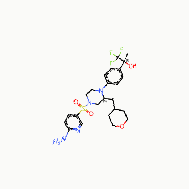 C[C@@](O)(c1ccc(N2CCN(S(=O)(=O)c3ccc(N)nc3)C[C@@H]2CC2CCOCC2)cc1)C(F)(F)F